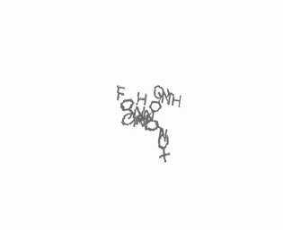 CC(C)NC(=O)[C@H]1CC[C@@H](n2c(NC(O)c3ccc(F)cc3)nc3ccc(CN4CCC(C(C)(C)C)CC4)cc32)CC1